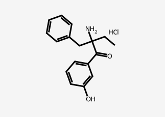 CCC(N)(Cc1ccccc1)C(=O)c1cccc(O)c1.Cl